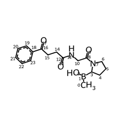 CB(O)C1CCCN1C(=O)CNC(=O)CCC(=O)c1ccccc1